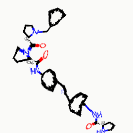 O=C(Nc1ccc(/C=C/c2ccc(NC(=O)[C@@H]3CCCN3C(=O)[C@@H]3CCCN3Cc3ccccc3)cc2)cc1)[C@@H]1CCCN1